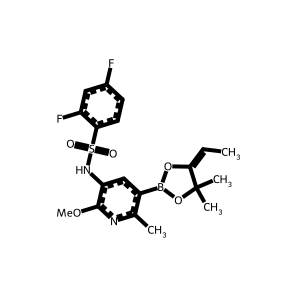 C/C=C1/OB(c2cc(NS(=O)(=O)c3ccc(F)cc3F)c(OC)nc2C)OC1(C)C